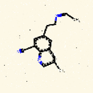 C/C=N\CCc1cc(C#N)c2ncc(C)cc2c1